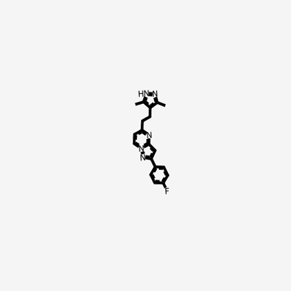 Cc1n[nH]c(C)c1CCc1ccn2nc(-c3ccc(F)cc3)cc2n1